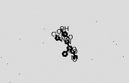 O=C(O)c1ccc(C(=O)n2nc(-c3cc(-c4ccccc4)n(CC(=O)c4ccon4)c(=O)c3)cc2NCc2ccc(Cl)s2)cc1